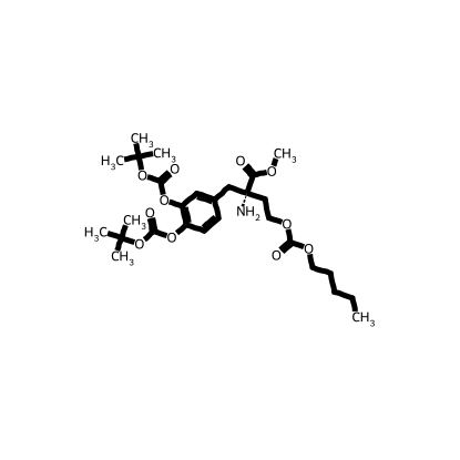 CCCCCOC(=O)OCC[C@@](N)(Cc1ccc(OC(=O)OC(C)(C)C)c(OC(=O)OC(C)(C)C)c1)C(=O)OC